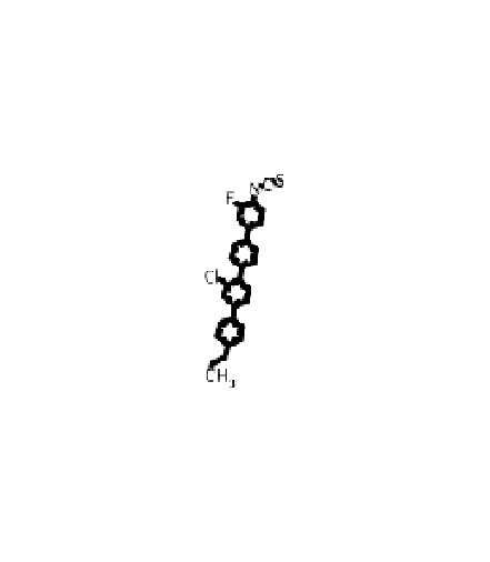 CCCc1ccc(-c2ccc(-c3ccc(-c4ccc(N=C=S)c(F)c4)cc3)c(Cl)c2)cc1